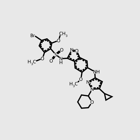 COc1cc2c(NS(=O)(=O)c3c(OC)cc(Br)cc3OC)noc2cc1Nc1cc(C2CC2)n(C2CCCCO2)n1